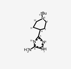 CC(C)(C)N1CCC(c2n[nH]c(N)n2)CC1